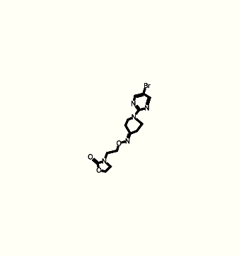 O=C1OCCN1CCON=C1CCN(c2ncc(Br)cn2)CC1